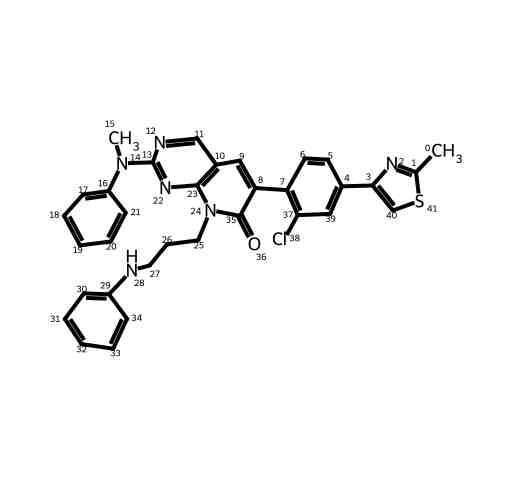 Cc1nc(-c2ccc(-c3cc4cnc(N(C)c5ccccc5)nc4n(CCCNc4ccccc4)c3=O)c(Cl)c2)cs1